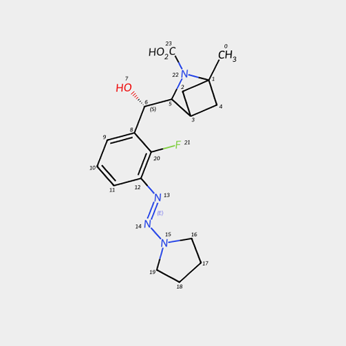 CC12CC(C1)C([C@@H](O)c1cccc(/N=N/N3CCCC3)c1F)N2C(=O)O